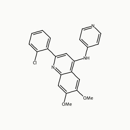 COc1cc2nc(-c3ccccc3Cl)cc(Nc3ccncc3)c2cc1OC